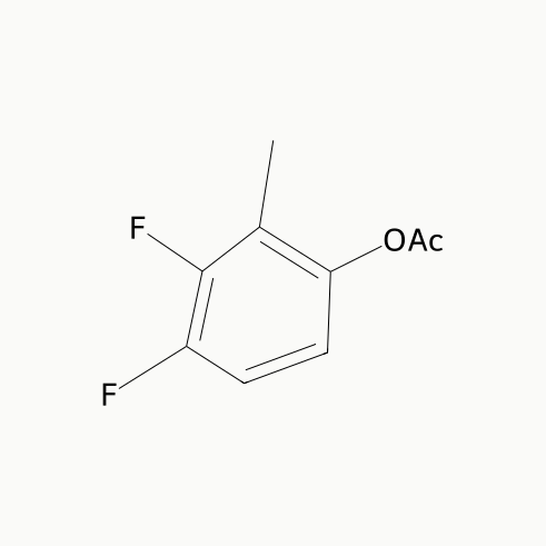 CC(=O)Oc1ccc(F)c(F)c1C